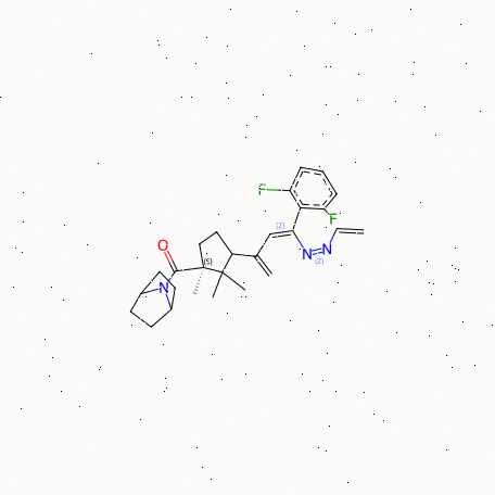 C=C/N=N\C(=C/C(=C)C1CC[C@](C)(C(=O)N2C3CCC2CC3)C1(C)C)c1c(F)cccc1F